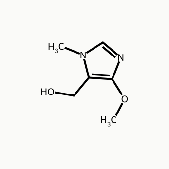 COc1ncn(C)c1CO